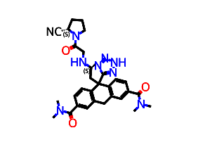 C[C@@H](CC1(c2nn[nH]n2)c2ccc(C(=O)N(C)C)cc2Cc2cc(C(=O)N(C)C)ccc21)NCC(=O)N1CCC[C@H]1C#N